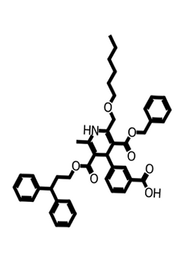 CCCCCCOCC1=C(C(=O)OCc2ccccc2)C(c2cccc(C(=O)O)c2)C(C(=O)OCCC(c2ccccc2)c2ccccc2)=C(C)N1